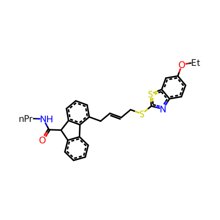 CCCNC(=O)C1c2ccccc2-c2c(CC=CCSc3nc4ccc(OCC)cc4s3)cccc21